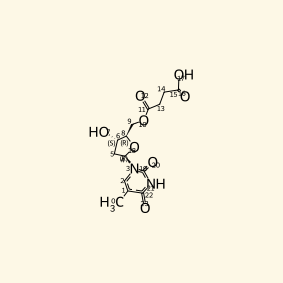 Cc1cn([C@H]2C[C@H](O)[C@@H](COC(=O)CCC(=O)O)O2)c(=O)[nH]c1=O